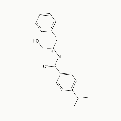 CC(C)c1ccc(C(=O)N[C@H](CO)Cc2ccccc2)cc1